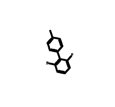 Cc1ccc(-c2c(F)cccc2F)cc1